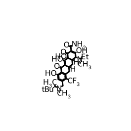 CCN(C)[C@@H]1C(O)=C(C(N)=O)C(=O)[C@@]2(O)C(O)=C3C(=O)c4c(O)cc(CN(C)[C@H](C)C(C)(C)C)c(C(F)(F)F)c4C[C@H]3C[C@@H]12